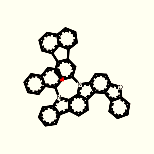 c1ccc2c(-n3c4ccccc4c4ccc5c6c7c(ccc6n(-c6ccc8c(c6)-c6cccc9cccc-8c69)c5c43)oc3ccccc37)cccc2c1